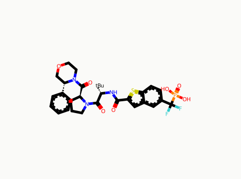 CC(C)(C)[C@H](NC(=O)c1cc2cc(C(F)(F)P(=O)(O)O)ccc2s1)C(=O)N1CCC[C@H]1C(=O)N1CCOC[C@H]1c1ccccc1